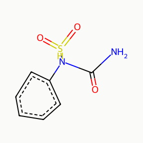 NC(=O)N(c1ccccc1)[SH](=O)=O